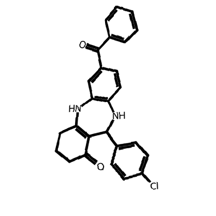 O=C1CCCC2=C1C(c1ccc(Cl)cc1)Nc1ccc(C(=O)c3ccccc3)cc1N2